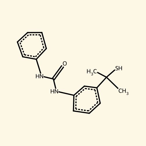 CC(C)(S)c1cccc(NC(=O)Nc2ccccc2)c1